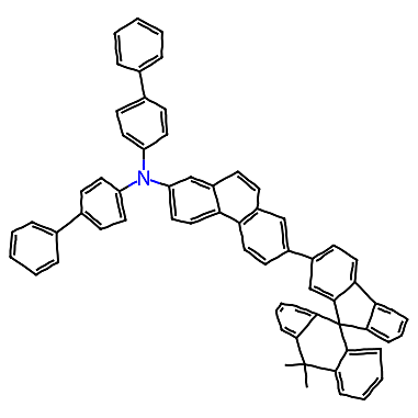 CC1(C)c2ccccc2C2(c3ccccc3-c3ccc(-c4ccc5c(ccc6cc(N(c7ccc(-c8ccccc8)cc7)c7ccc(-c8ccccc8)cc7)ccc65)c4)cc32)c2ccccc21